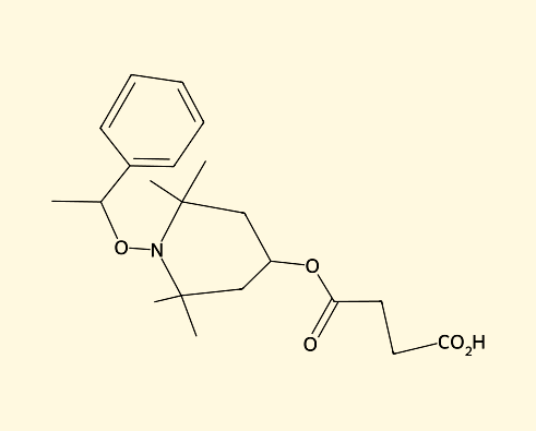 CC(ON1C(C)(C)CC(OC(=O)CCC(=O)O)CC1(C)C)c1ccccc1